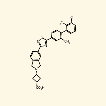 Cc1cc(-c2nc(-c3ccc4c(c3)CN([C@H]3C[C@H](C(=O)O)C3)C4)no2)ccc1-c1cccc(Cl)c1C(F)(F)F